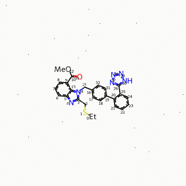 CCSCc1nc2cccc(C(=O)OC)c2n1Cc1ccc(-c2ccccc2-c2nnn[nH]2)cc1